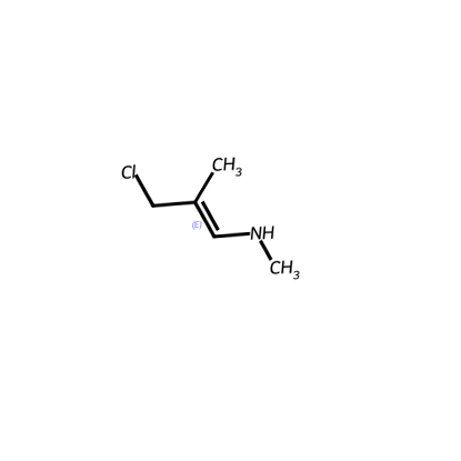 CN/C=C(\C)CCl